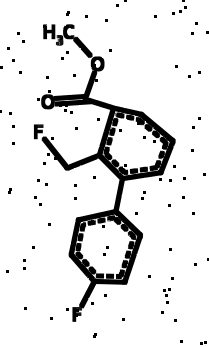 COC(=O)c1cccc(-c2ccc(F)cc2)c1CF